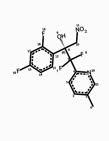 Cc1ccc(C(F)(F)[C@](O)(C[N+](=O)[O-])c2ccc(F)cc2F)nc1